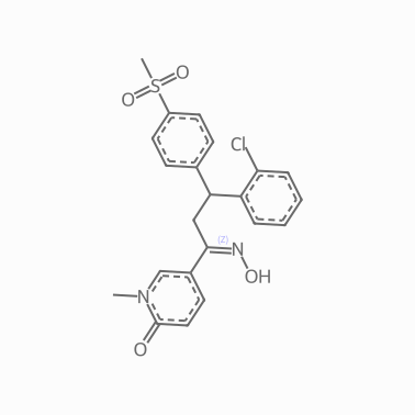 Cn1cc(/C(CC(c2ccc(S(C)(=O)=O)cc2)c2ccccc2Cl)=N\O)ccc1=O